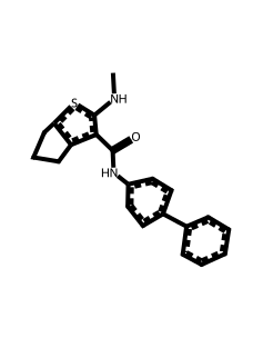 CNc1sc2c(c1C(=O)Nc1ccc(-c3ccccc3)cc1)CCC2